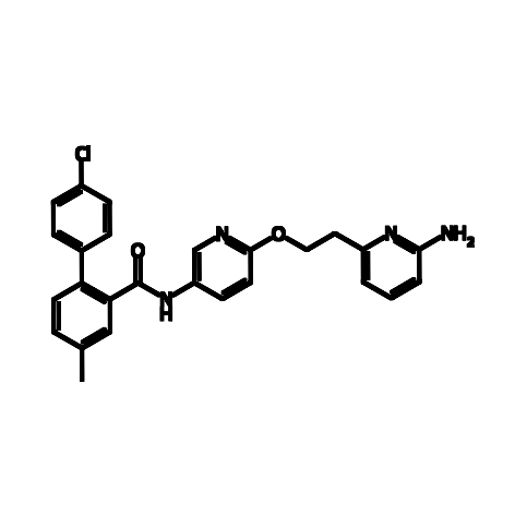 Cc1ccc(-c2ccc(Cl)cc2)c(C(=O)Nc2ccc(OCCc3cccc(N)n3)nc2)c1